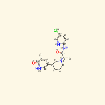 Cc1cc(C2CCCN([C@@H](C)C(=O)Nc3ccc(Cl)cn3)C2)c[nH]c1=O